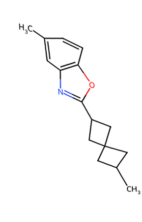 Cc1ccc2oc(C3CC4(CC(C)C4)C3)nc2c1